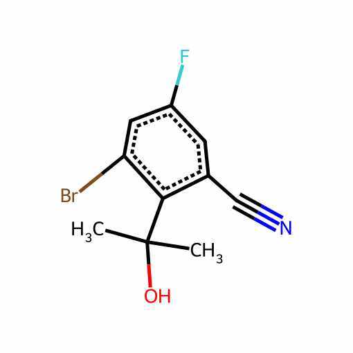 CC(C)(O)c1c(Br)cc(F)cc1C#N